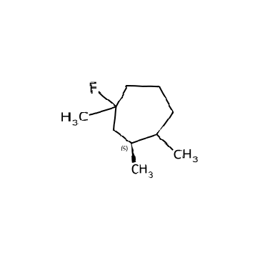 CC1CCCC(C)(F)C[C@@H]1C